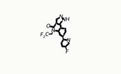 O=c1c2cn[nH]c2c2ccc(-c3ccc(F)cn3)cc2n1CC(F)(F)F